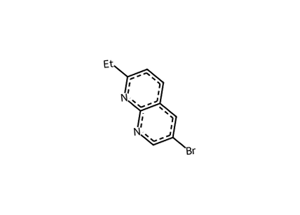 CCc1ccc2cc(Br)cnc2n1